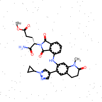 CN1C(=O)CCc2cc(-c3cnn(C4CC4)c3)c(Nc3cccc4c3C(=O)N([C@@H](CCC(=O)OC(C)(C)C)C(N)=O)C4=O)cc21